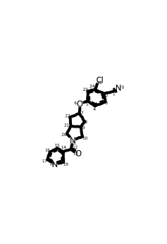 N#Cc1ccc(OC2CC3CN(C(=O)c4cccnc4)CC3C2)cc1Cl